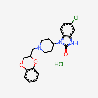 Cl.O=c1[nH]c2cc(Cl)ccc2n1C1CCN(CC2COc3ccccc3O2)CC1